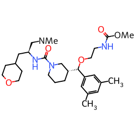 CNC[C@H](CC1CCOCC1)NC(=O)N1CCC[C@@H](C(OCCNC(=O)OC)c2cc(C)cc(C)c2)C1